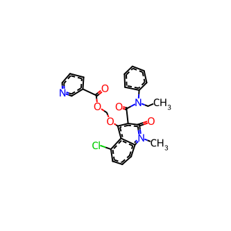 CCN(C(=O)c1c(OCOC(=O)c2cccnc2)c2c(Cl)cccc2n(C)c1=O)c1ccccc1